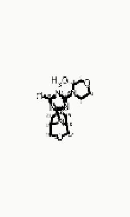 C[C@@H]1COCCN1c1nc(Cl)nc(N2C3COCC2COC3)n1